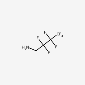 NCC(F)(F)C(F)(F)C(F)(F)F